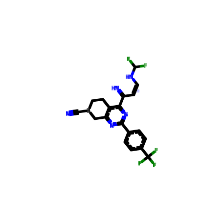 N#CB1CCc2c(nc(-c3ccc(C(F)(F)F)cc3)nc2C(=N)/C=C\NC(F)F)C1